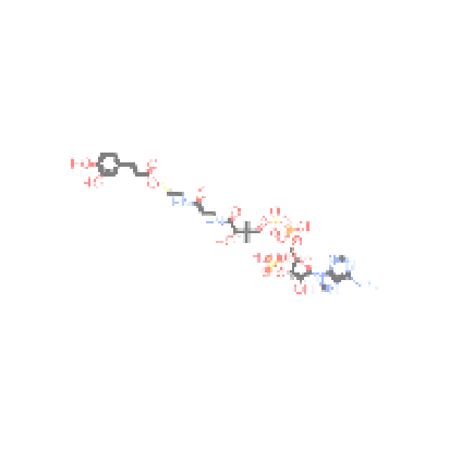 CC(C)(COP(=O)(O)OP(=O)(O)OC[C@H]1O[C@@H](n2cnc3c(N)ncnc32)[C@H](O)[C@@H]1OP(=O)(O)O)[C@@H](O)C(=O)NCCC(=O)NCCSOC(=O)/C=C/c1ccc(O)c(O)c1